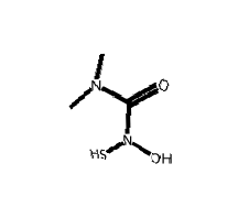 CN(C)C(=O)N(O)S